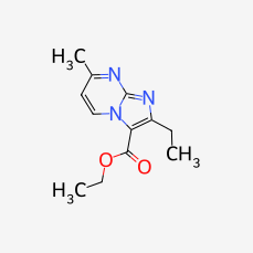 CCOC(=O)c1c(CC)nc2nc(C)ccn12